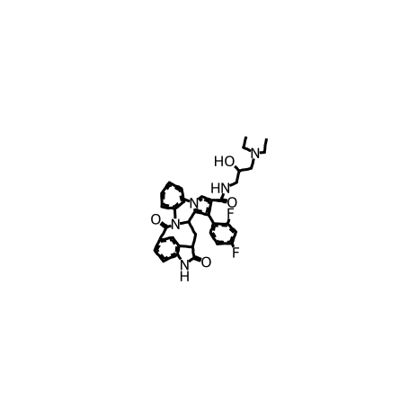 CCN(CC)CC(O)CNC(=O)c1cn(C)c(C2CC3C(=O)Nc4ccc(cc43)C(=O)N2c2ccccc2)c1-c1ccc(F)cc1F